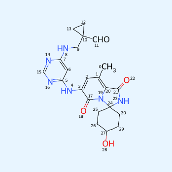 Cc1cc(Nc2cc(NCC3(C=O)CC3)ncn2)c(=O)n2c1C(=O)NC21CCC(O)CC1